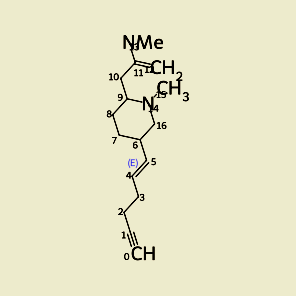 C#CCC/C=C/C1CCC(CC(=C)NC)N(C)C1